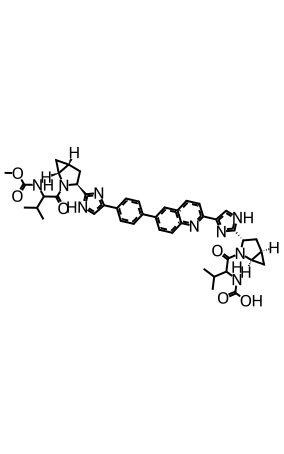 COC(=O)NC(C(=O)N1[C@@H]2C[C@@H]2C[C@H]1c1nc(-c2ccc(-c3ccc4nc(-c5c[nH]c([C@@H]6C[C@H]7C[C@H]7N6C(=O)C(NC(=O)O)C(C)C)n5)ccc4c3)cc2)c[nH]1)C(C)C